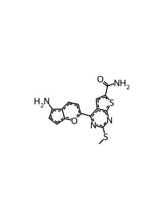 CSc1nc(-c2ccc3c(N)ccc-3o2)c2cc(C(N)=O)sc2n1